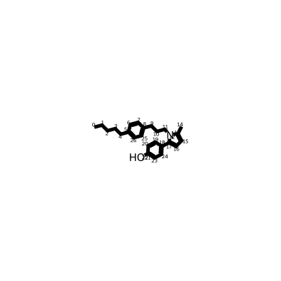 CCCCCc1ccc(CCCn2c(C)ccc2-c2ccc(O)cc2)cc1